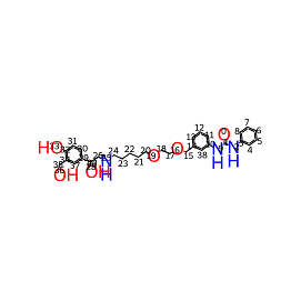 O=C(Nc1ccccc1)Nc1cccc(COCCOCCCCCNC[C@H](O)c2ccc(O)c(CO)c2)c1